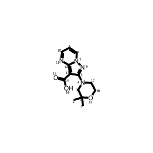 CC1(C)CN(c2nn3cccnc3c2C(=O)O)CCO1